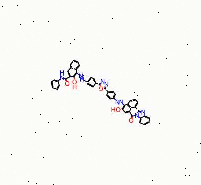 O=C(Nc1ccccc1)c1cc2ccccc2c(N=Nc2ccc(-c3nnc(-c4ccc(N=Nc5c(O)cc6c(=O)n7c8ccccc8nc7c7cccc5c67)cc4)o3)cc2)c1O